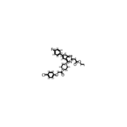 CCOC(=O)Cc1nc(N2CCN(C(=O)COc3ccc(Cl)cc3)CC2)c2cc(-c3ccc(F)cc3)sc2n1